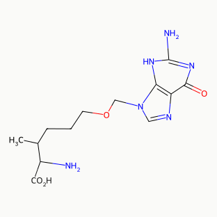 CC(CCCOCn1cnc2c(=O)nc(N)[nH]c21)C(N)C(=O)O